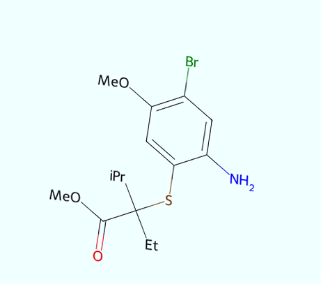 CCC(Sc1cc(OC)c(Br)cc1N)(C(=O)OC)C(C)C